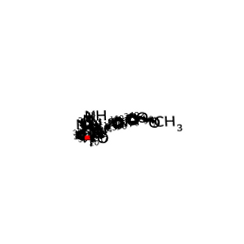 COCCOc1ccc(N2CCN(CCn3c(=O)n(C(F)F)n4c5c(nc34)N(N)CN=C5c3ccco3)CC2)cc1